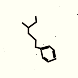 [CH2]CC(C)CCCc1ccccc1